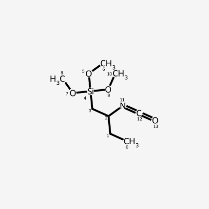 CCC(C[Si](OC)(OC)OC)N=C=O